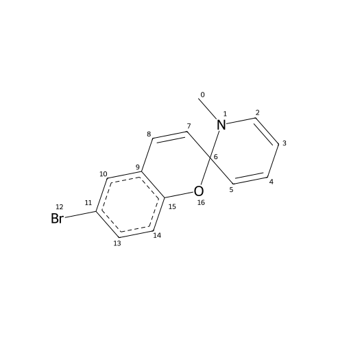 CN1C=CC=CC12C=Cc1cc(Br)ccc1O2